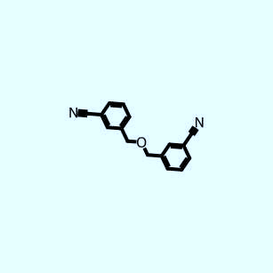 N#Cc1cccc(COCc2cccc(C#N)c2)c1